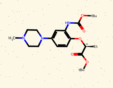 CC[C@H](Oc1ccc(N2CCN(C)CC2)cc1NC(=O)OC(C)(C)C)C(=O)OC(C)(C)C